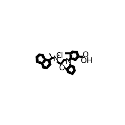 Cc1ccc(C(=O)O)cc1N1CC(CN(Cl)[C@H](C)c2cccc3ccccc23)Oc2ccccc21